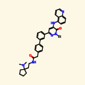 CCn1nc(-c2cccc(-c3ccc(CC(=O)NCCC4(N(C)C)CCCC4)cc3)c2)cc(Nc2cccc3ncccc23)c1=O